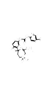 C[C@H]1C(N)=NC(C)(c2cc(NC(=O)Oc3ccc(F)cn3)ccc2F)CCS1(=O)=O